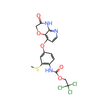 CSc1cc(Oc2ccnc3c2OCC(=O)N3)ccc1NC(=O)OCC(Cl)(Cl)Cl